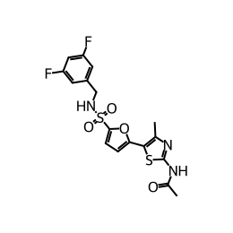 CC(=O)Nc1nc(C)c(-c2ccc(S(=O)(=O)NCc3cc(F)cc(F)c3)o2)s1